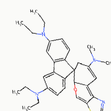 CCN(CC)c1ccc2c(c1)-c1cc(N(CC)CC)ccc1C21CC(N(C)C)=CC2=c3ncsc3=COC21